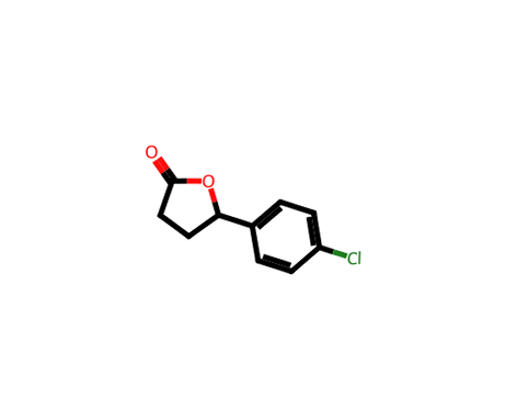 O=C1CCC(c2ccc(Cl)cc2)O1